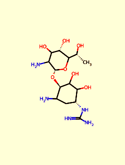 C[C@@H](O)C1O[C@H](O[C@@H]2C(N)C[C@@H](NC(=N)N)C(O)C2O)C(N)C(O)[C@@H]1O